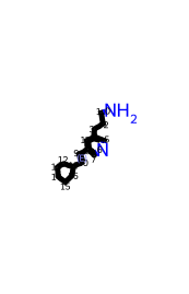 NCCCc1cncc(/C=C/C2CCCCC2)c1